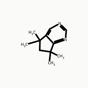 CC1(C)CC(C)(C)c2ncncc21